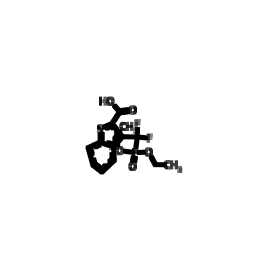 CCOP(=O)(OCC)C(F)(F)c1c(C(=O)O)sc2ccccc12